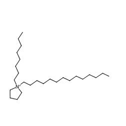 CCCCCCCCCCCCCC[N+]1(CCCCCCCC)CCCC1